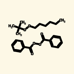 CCCCCCOOC(C)(C)C.O=C(OOC(=O)c1ccccc1)c1ccccc1